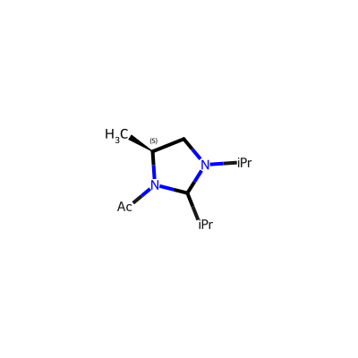 CC(=O)N1C(C(C)C)N(C(C)C)C[C@@H]1C